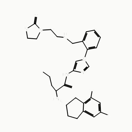 CCCC(N[C@H]1CCc2cc(F)cc(F)c2C1)C(=O)Nc1cn(-c2ccccc2CNCCN2CCNC2=O)cn1